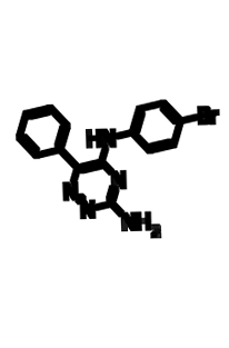 Nc1nnc(-c2ccccc2)c(Nc2ccc(Br)cc2)n1